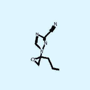 CCCC1(n2cnc(C#N)n2)CO1